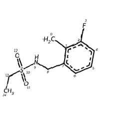 [CH2]c1c(F)cccc1CNS(=O)(=O)CC